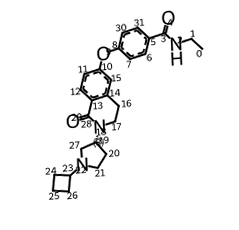 CCNC(=O)c1ccc(Oc2ccc3c(c2)CCN([C@@H]2CCN(C4CCC4)C2)C3=O)cc1